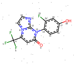 O=c1cc(C(F)(F)F)n2ccnc2n1-c1ccc(O)cc1F